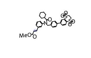 COC(=O)/C=C/c1cccc(N(Cc2ccc(-c3ccc4c(c3)S(=O)(=O)CCS4(=O)=O)cc2)C(=O)C2CCCCC2)c1